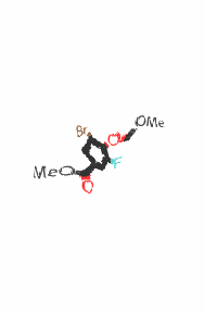 COCOc1c(F)cc(C(=O)OC)cc1Br